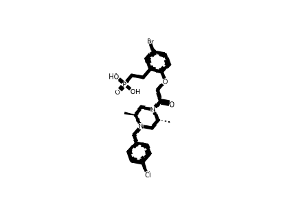 C[C@@H]1CN(Cc2ccc(Cl)cc2)[C@@H](C)CN1C(=O)COc1ccc(Br)cc1CCP(=O)(O)O